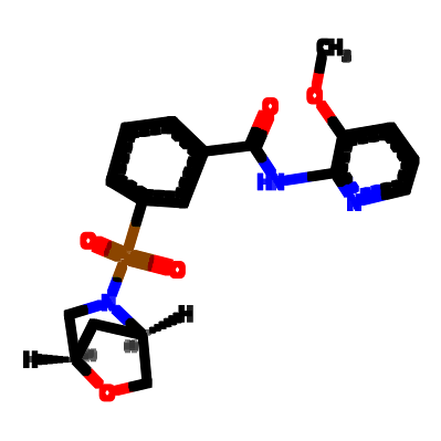 COc1cccnc1NC(=O)c1cccc(S(=O)(=O)N2C[C@H]3C[C@@H]2CO3)c1